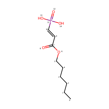 CCCCCCOC(=O)C=CP(=O)(O)O